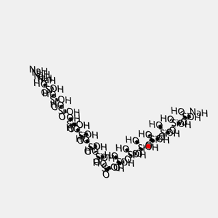 O=[Si](O)O.O=[Si](O)O.O=[Si](O)O.O=[Si](O)O.O=[Si](O)O.O=[Si](O)O.O=[Si](O)O.O=[Si](O)O.O=[Si](O)O.O=[Si](O)O.O=[Si](O)O.O=[Si](O)O.O=[Si](O)O.O=[Si](O)O.O=[Si](O)O.[NaH].[NaH].[NaH].[NaH].[NaH]